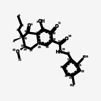 CCC[C@@]1(C)C(=O)c2c(O)c(=O)c(C(=O)NCc3ccc(F)cc3F)cn2C[C@@H]1OC